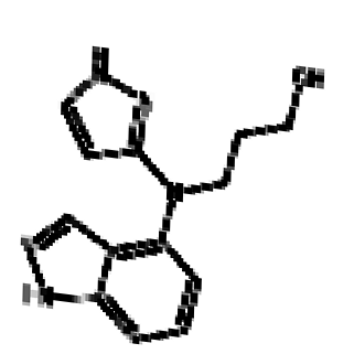 OCCCN(c1cc[nH]n1)c1cccc2[nH]ncc12